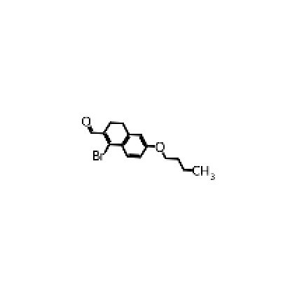 CCCCOc1ccc2c(c1)CCC(C=O)=C2Br